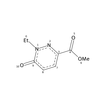 CCn1nc(C(=O)OC)ccc1=O